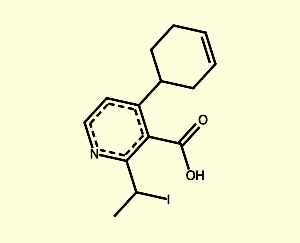 CC(I)c1nccc(C2CC=CCC2)c1C(=O)O